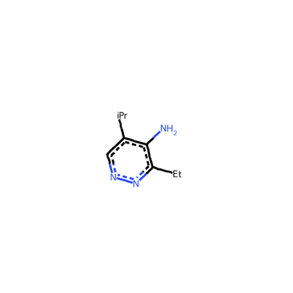 CCc1nncc(C(C)C)c1N